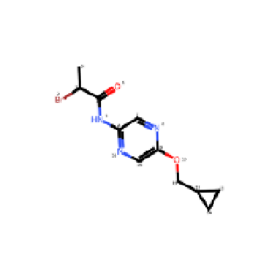 CC(Br)C(=O)Nc1cnc(OCC2CC2)cn1